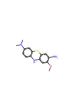 COc1cc2c(cc1N)Sc1cc(N(C)C)ccc1N2